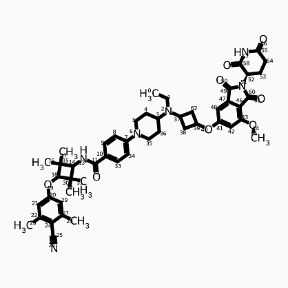 CCN(C1CCN(c2ccc(C(=O)NC3C(C)(C)C(Oc4cc(C)c(C#N)c(C)c4)C3(C)C)cc2)CC1)C1CC(Oc2cc(OC)c3c(c2)C(=O)N([C@@H]2CCC(=O)NC2=O)C3=O)C1